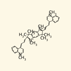 CN1C=CC(=CC=CC2=[N+](C)c3cc4c(cc3C2(C)C)[N+](C)=C(C=CC=C2C=CN(C)c3ccccc32)C4(C)C)c2ccccc21